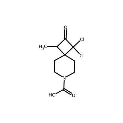 CC1C(=O)C(Cl)(Cl)C12CCN(C(=O)O)CC2